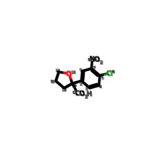 O=C(O)C1(c2ccc(Cl)c([N+](=O)[O-])c2)CCCO1